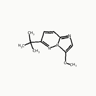 COc1cnc2ccc(C(C)(C)C)nn12